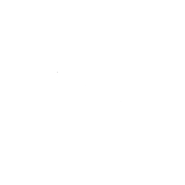 CC(C)(C)C1=CC(=Cc2ccc(C(C)(C)C)cc2)C=C(C(C)(C)C)C1